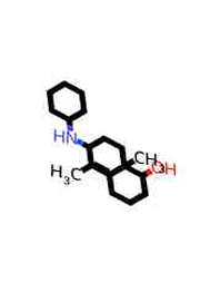 CC1=C2CCCC(O)C2(C)CCC1NC1CCCCC1